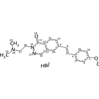 Br.COc1ccc(C=Cc2ccc3c(=O)n(CCN(C)C)ncc3c2)cc1